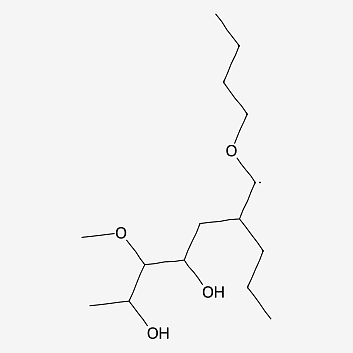 CCCCO[CH]C(CCC)CC(O)C(OC)C(C)O